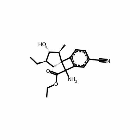 CCOC(=O)C1(N)c2cc(C#N)ccc2[C@@]12C[C@@H](CC)[C@H](O)[C@H]2C